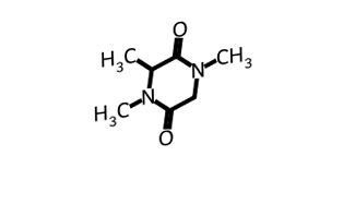 CC1C(=O)N(C)CC(=O)N1C